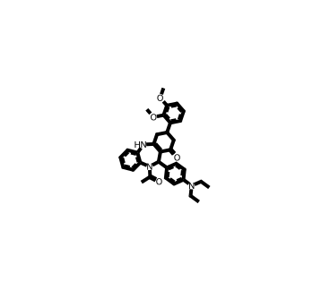 CCN(CC)c1ccc(C2C3=C(CC(c4cccc(OC)c4OC)CC3=O)Nc3ccccc3N2C(C)=O)cc1